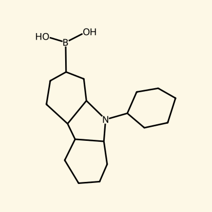 OB(O)C1CCC2C3CCCCC3N(C3CCCCC3)C2C1